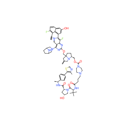 C#Cc1c(F)ccc2cc(O)cc(-c3ncc4c(N5CC6CCC(C5)N6)nc(OCC56CC[C@@H](COC(=O)N7CCN(CCCC(=O)N[C@H](C(=O)N8C[C@H](O)C[C@H]8C(=O)N[C@@H](C)c8ccc(-c9scnc9C)cc8)C(C)(C)C)CC7)N5CC(=C)C6)nc4c3F)c12